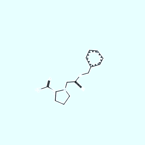 NC(=O)[C@@H]1CCCN1CC(=O)OCc1ccccc1